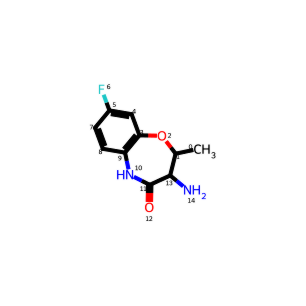 CC1Oc2cc(F)ccc2NC(=O)C1N